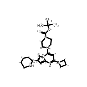 CC(C)(C)OC(=O)N1CCN(c2cc(N3CCC3)nc3cc([C@@H]4CCCCN4)nn23)CC1